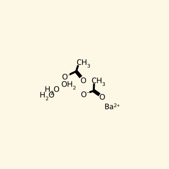 CC(=O)[O-].CC(=O)[O-].O.O.O.[Ba+2]